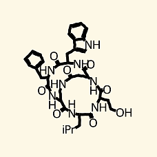 CC(C)CC1NC(=O)C2CNC(=O)CC(NC(=O)C(CCO)NC1=O)C(=O)NC(Cc1c[nH]c3ccccc13)C(=O)NC(Cc1ccccc1)C(=O)N2